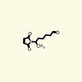 CC(CCCCC=O)N1C(=O)C=CC1=O